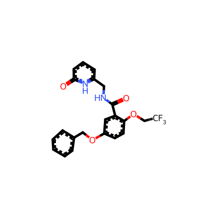 O=C(NCc1cccc(=O)[nH]1)c1cc(OCc2ccccc2)ccc1OCC(F)(F)F